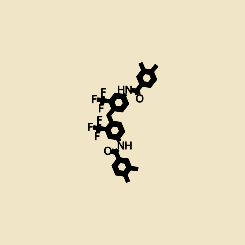 Cc1ccc(C(=O)Nc2ccc(Cc3ccc(NC(=O)c4ccc(C)c(C)c4)cc3C(F)(F)F)c(C(F)(F)F)c2)cc1C